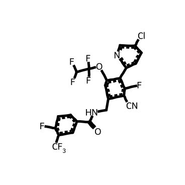 N#Cc1c(CNC(=O)c2ccc(F)c(C(F)(F)F)c2)cc(OC(F)(F)C(F)F)c(-c2ccc(Cl)cn2)c1F